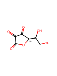 O=C1O[C@H](C(O)CO)C(=O)C1=O